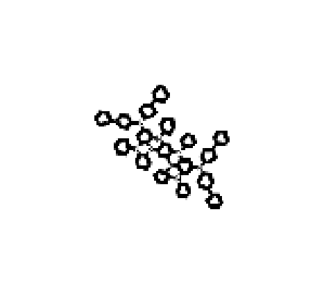 c1ccc(-c2ccc(N(c3ccc(-c4ccccc4)cc3)c3cc4c5c(c3)N(c3ccccc3)c3cc6c(cc3B5c3ccccc3N4c3ccccc3)B3c4ccccc4N(c4ccccc4)c4cc(N(c5ccc(-c7ccccc7)cc5)c5ccc(-c7ccccc7)cc5)cc(c43)N6c3ccccc3)cc2)cc1